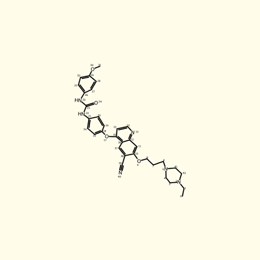 CCN1CCN(CCCOc2cc3nccc(Oc4ccc(NC(=O)Nc5ccc(OC)cc5)cc4)c3cc2C#N)CC1